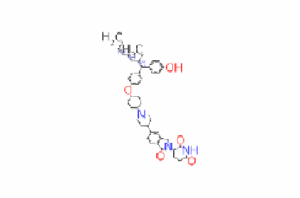 C=C\C=C/C=C/C(CC)=C(/c1ccc(O)cc1)c1ccc(OC2CCC(N3CCC(c4ccc5c(c4)CN(C4CCC(=O)NC4=O)C5=O)CC3)CC2)cc1